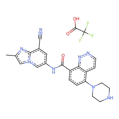 Cc1cn2cc(NC(=O)c3ccc(N4CCNCC4)c4ccnnc34)cc(C#N)c2n1.O=C(O)C(F)(F)F